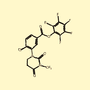 CN1C(=O)CCN(c2cc(C(=O)Oc3c(F)c(F)c(F)c(F)c3F)ccc2Cl)C1=O